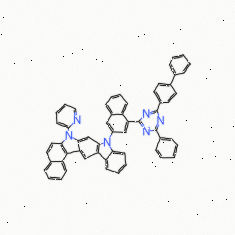 c1ccc(-c2ccc(-c3nc(-c4ccccc4)nc(-c4cc(-n5c6ccccc6c6cc7c8c9ccccc9ccc8n(-c8ccccn8)c7cc65)cc5ccccc45)n3)cc2)cc1